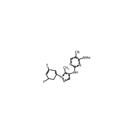 CNc1nc(Nc2cnn(C3=CC(F)=CC(F)C3)c2C)ncc1C#N